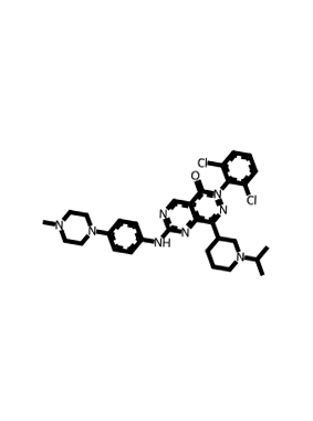 CC(C)N1CCCC(c2nn(-c3c(Cl)cccc3Cl)c(=O)c3cnc(Nc4ccc(N5CCN(C)CC5)cc4)nc23)C1